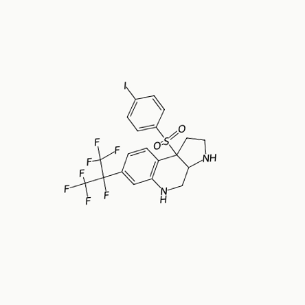 O=S(=O)(c1ccc(I)cc1)C12CCNC1CNc1cc(C(F)(C(F)(F)F)C(F)(F)F)ccc12